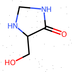 O=C1NCNC1CO